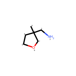 CC1(CN)CCOC1